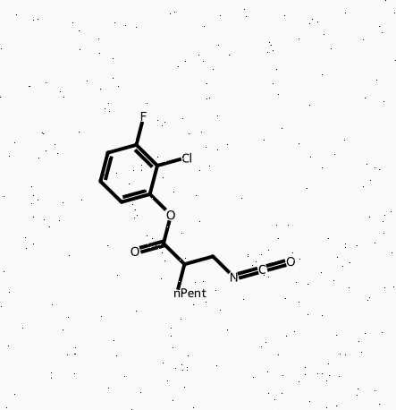 CCCCCC(CN=C=O)C(=O)Oc1cccc(F)c1Cl